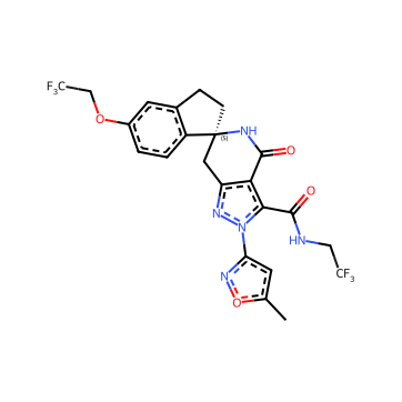 Cc1cc(-n2nc3c(c2C(=O)NCC(F)(F)F)C(=O)N[C@@]2(CCc4cc(OCC(F)(F)F)ccc42)C3)no1